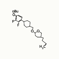 C=CCCC1CCC(OCC2CCC(c3ccc(OCCCC)c(F)c3F)CC2)OC1